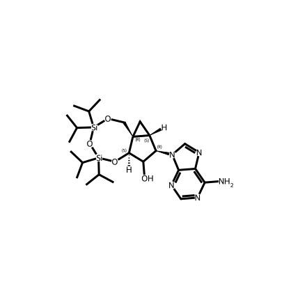 CC(C)[Si]1(C(C)C)OC[C@@]23C[C@@H]2[C@@H](n2cnc4c(N)ncnc42)C(O)[C@H]3O[Si](C(C)C)(C(C)C)O1